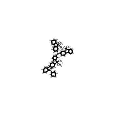 CC1(C)c2ccccc2-c2ccc(N(c3ccc4c(c3)C(C)(C)c3ccccc3-4)c3ccc4c(c3)C(C)(C)c3cc5c(cc3-4)c3ccccc3n5-c3ccccc3)cc21